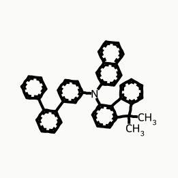 CC1(C)c2ccccc2-c2c(N(c3cccc(-c4ccccc4-c4ccccc4)c3)c3ccc4ccccc4c3)cccc21